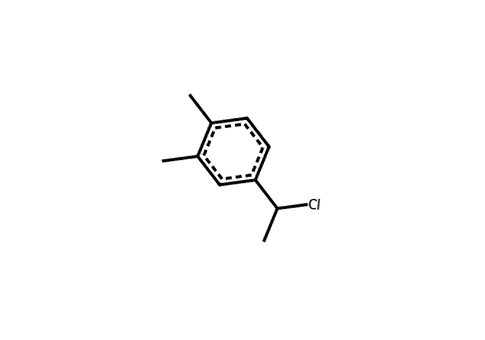 Cc1ccc(C(C)Cl)cc1C